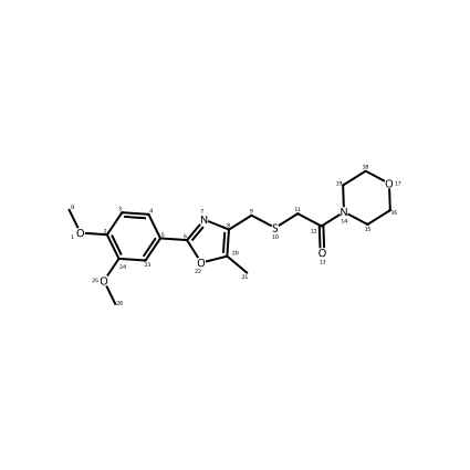 COc1ccc(-c2nc(CSCC(=O)N3CCOCC3)c(C)o2)cc1OC